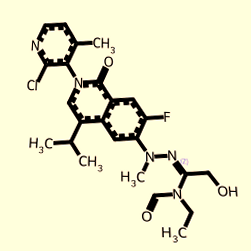 CCN(C=O)/C(CO)=N\N(C)c1cc2c(C(C)C)cn(-c3c(C)ccnc3Cl)c(=O)c2cc1F